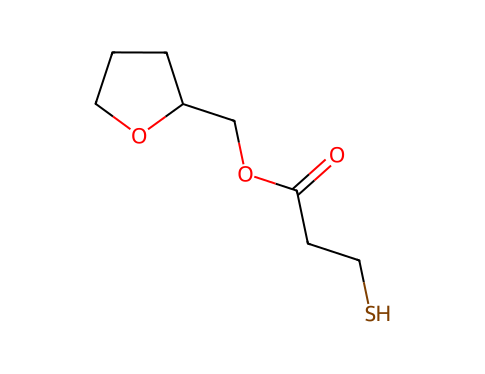 O=C(CCS)OCC1CCCO1